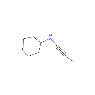 CC#CNC1CCCCC1